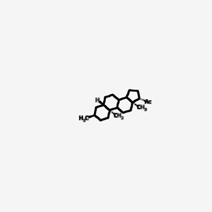 CC(=O)[C@H]1CCC2C3CC[C@H]4C[C@H](C)CC[C@]4(C)C3CC[C@@]21C